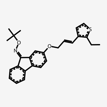 CCc1sccc1/C=C/COc1ccc2c(c1)/C(=N\OC(C)(C)C)c1ccccc1-2